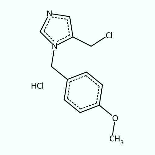 COc1ccc(Cn2cncc2CCl)cc1.Cl